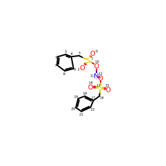 O=S(=O)(Cc1ccccc1)O[N]OS(=O)(=O)Cc1ccccc1